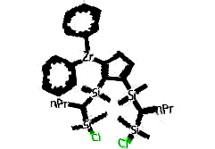 CCCC([Si](C)(C)Cl)[Si](C)(C)C1=CC[C]([Zr]([c]2ccccc2)[c]2ccccc2)=C1[Si](C)(C)C(CCC)[Si](C)(C)Cl